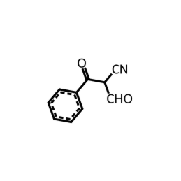 N#CC(C=O)C(=O)c1ccccc1